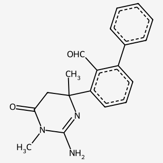 CN1C(=O)CC(C)(c2cccc(-c3ccccc3)c2C=O)N=C1N